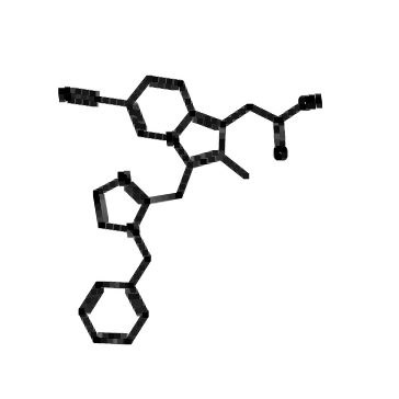 Cc1c(CC(=O)O)c2ccc(C#N)cn2c1Cc1nccn1Cc1ccccc1